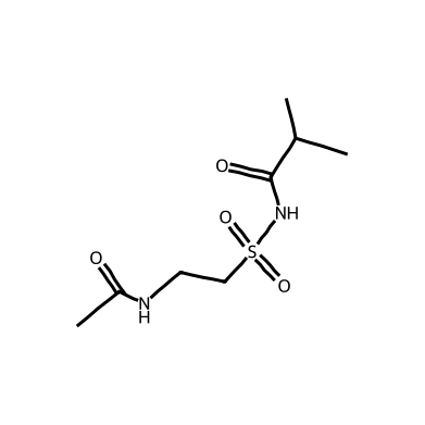 CC(=O)NCCS(=O)(=O)NC(=O)C(C)C